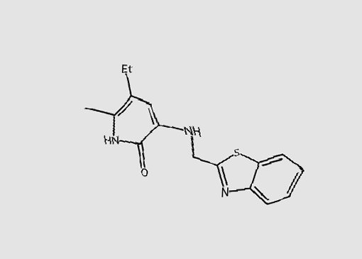 CCc1cc(NCc2nc3ccccc3s2)c(=O)[nH]c1C